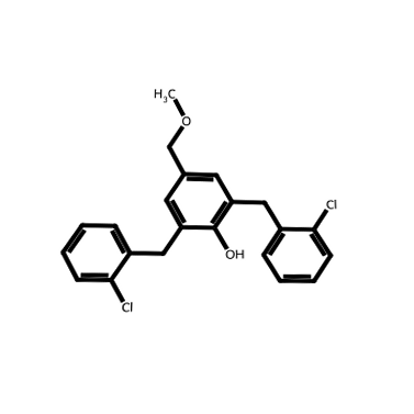 COCc1cc(Cc2ccccc2Cl)c(O)c(Cc2ccccc2Cl)c1